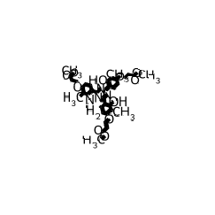 COC(=O)CCOc1ccc(-c2nc(-c3ccc(OCCC(=O)OC)c(C)c3O)nc(-c3ccc(OCCC(=O)OC)c(C)c3O)n2)c(N)c1C